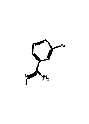 C/N=C(\N)c1cccc(Br)c1